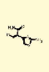 NC(=O)C(=CCl)c1csc(N)n1